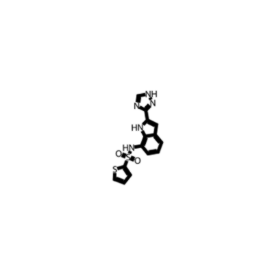 O=S(=O)(Nc1cccc2cc(-c3nc[nH]n3)[nH]c12)c1cccs1